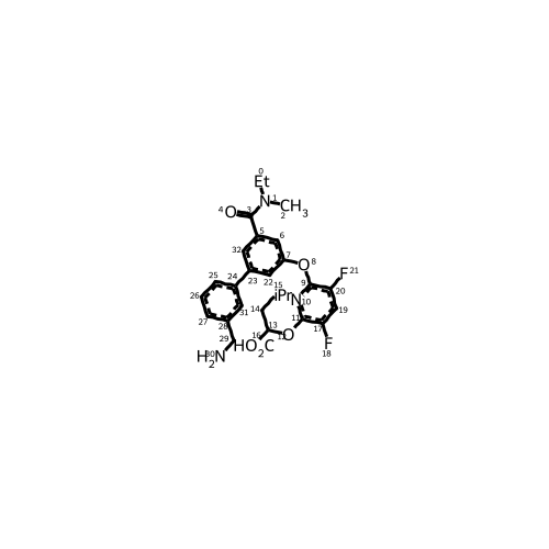 CCN(C)C(=O)c1cc(Oc2nc(OC(CC(C)C)C(=O)O)c(F)cc2F)cc(-c2cccc(CN)c2)c1